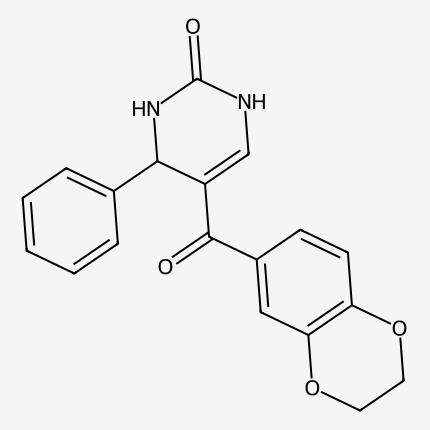 O=C1NC=C(C(=O)c2ccc3c(c2)OCCO3)C(c2ccccc2)N1